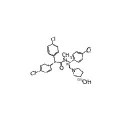 CN(C(=O)C(c1ccc(Cl)cc1)c1ccc(Cl)cc1)[C@H](CN1CC[C@H](O)C1)c1ccc(Cl)cc1